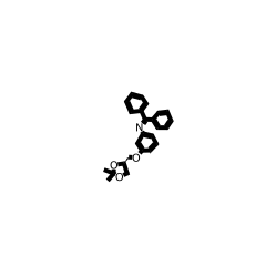 CC1(C)OC[C@@H](COc2[c]ccc(N=C(c3ccccc3)c3ccccc3)c2)O1